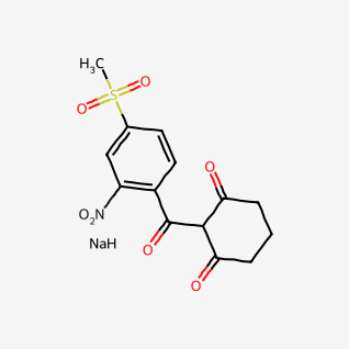 CS(=O)(=O)c1ccc(C(=O)C2C(=O)CCCC2=O)c([N+](=O)[O-])c1.[NaH]